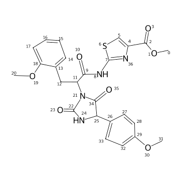 COC(=O)c1csc(NC(=O)C(Cc2ccccc2OC)N2C(=O)NC(c3ccc(OC)cc3)C2=O)n1